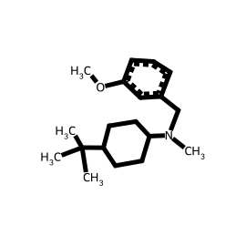 COc1cccc(CN(C)C2CCC(C(C)(C)C)CC2)c1